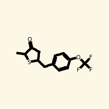 CC1SC(Cc2ccc(OC(F)(F)F)cc2)CC1=O